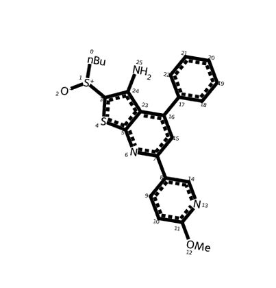 CCCC[S+]([O-])c1sc2nc(-c3ccc(OC)nc3)cc(-c3ccccc3)c2c1N